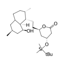 C[C@H]1CC2CC[C@H](C)[C@H](CC[C@@H]3C[C@@H](O[Si](C)(C)C(C)(C)C)CC(=O)O3)[C@H]2[C@@H](O)C1